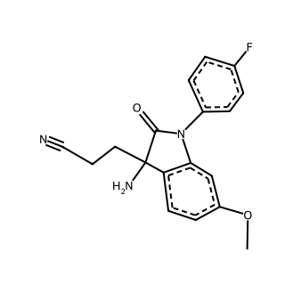 COc1ccc2c(c1)N(c1ccc(F)cc1)C(=O)C2(N)CCC#N